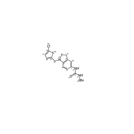 CC(C)(C)NC(=O)Nc1ccc2c(c1)CCN2Cc1ccc(Cl)s1